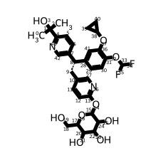 CC(C)(O)c1ccc([C@@H](Cc2ccc(OC3OC(CO)C(O)C(O)C3O)nc2)c2ccc(OC(F)F)c(OC3CC3)c2)cn1